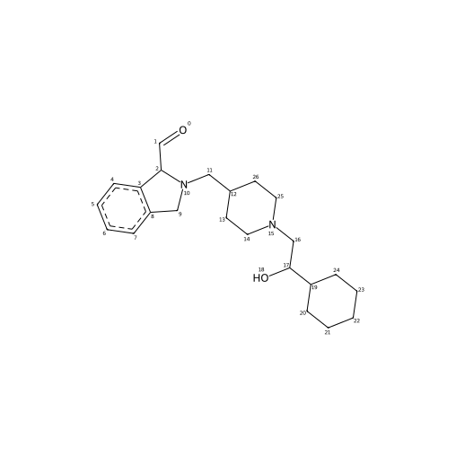 O=CC1c2ccccc2CN1CC1CCN(CC(O)C2CCCCC2)CC1